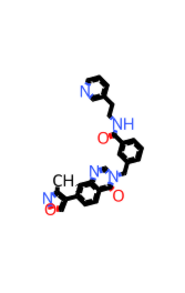 Cc1nocc1-c1ccc2c(=O)n(Cc3cccc(C(=O)NCCc4cccnc4)c3)cnc2c1